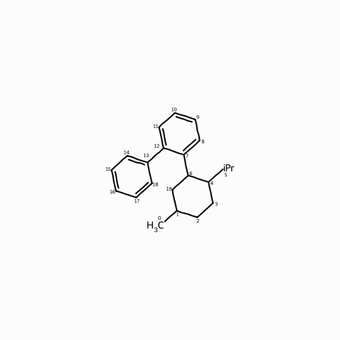 CC1CCC(C(C)C)C(c2ccccc2-c2ccccc2)C1